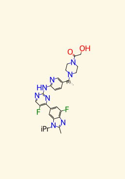 Cc1nc2c(F)cc(-c3nc(Nc4ccc([C@@H](C)N5CCN(C(=O)CO)CC5)cn4)ncc3F)cc2n1C(C)C